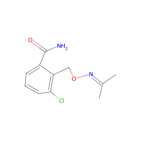 CC(C)=NOCc1c(Cl)cccc1C(N)=O